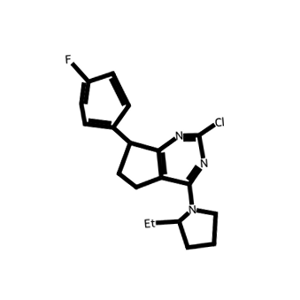 CCC1CCCN1c1nc(Cl)nc2c1CCC2c1ccc(F)cc1